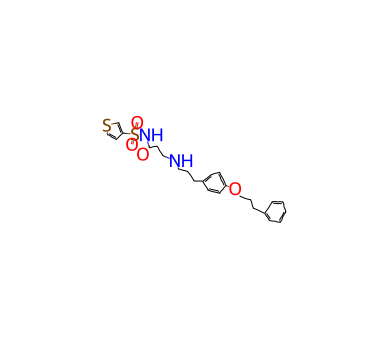 O=C(CCNCCCc1ccc(OCCCc2ccccc2)cc1)NS(=O)(=O)c1ccsc1